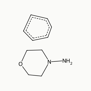 NN1CCOCC1.c1ccccc1